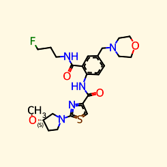 CO[C@H]1CCN(c2nc(C(=O)Nc3ccc(CN4CCOCC4)cc3C(=O)NCCCF)cs2)C1